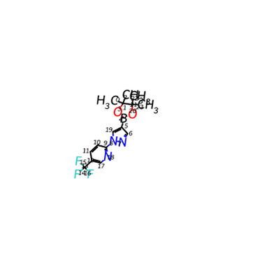 CC1(C)OB(c2cnn(-c3ccc(C(F)(F)F)cn3)c2)OC1(C)C